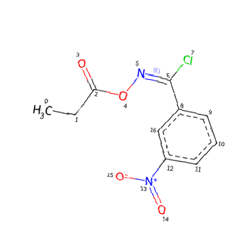 CCC(=O)O/N=C(/Cl)c1cccc([N+](=O)[O-])c1